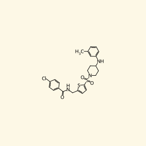 Cc1cccc(NC2CCN(S(=O)(=O)c3ccc(CNC(=O)c4ccc(Cl)cc4)s3)CC2)c1